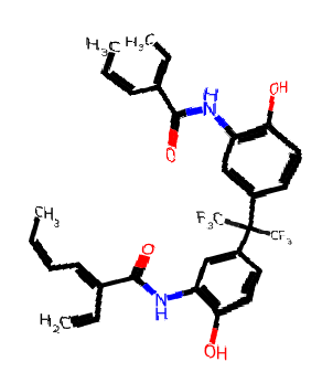 C=C/C(=C\C=C/C)C(=O)Nc1cc(C(c2ccc(O)c(NC(=O)C(/C=C\C)=C/C)c2)(C(F)(F)F)C(F)(F)F)ccc1O